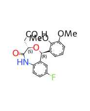 COc1cccc([C@@H]2O[C@@H](CC(=O)O)C(=O)Nc3ccc(F)cc32)c1OC